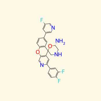 N[C@@H]1CNCC2(O1)c1cc(-c3cncc(F)c3)ccc1Oc1cnc(-c3ccc(F)c(F)c3)cc12